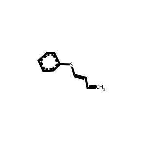 C=C/C=C/Sc1ccccc1